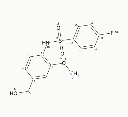 COc1cc(CO)ccc1NS(=O)(=O)c1ccc(F)cc1